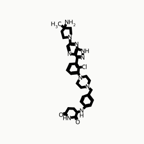 CC1(N)CCN(c2cnc3c(-c4cccc(N5CCN(Cc6ccc(NC7CCC(=O)NC7=O)cc6)CC5)c4Cl)n[nH]c3n2)CC1